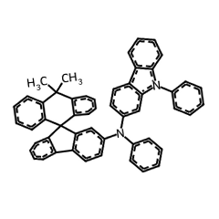 CC1(C)c2ccccc2C2(c3ccccc3-c3ccc(N(c4ccccc4)c4ccc5c6ccccc6n(-c6ccccc6)c5c4)cc32)c2ccccc21